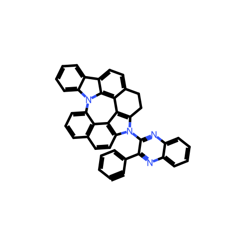 c1cccc(-c2nc3ccccc3nc2-n2c3c4c5c(ccc6c7ccccc7n(c7cccc8ccc2c4c87)c65)CC3)c#1